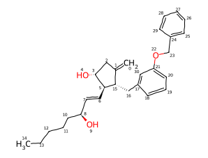 C=C1C[C@@H](O)[C@H](/C=C/[C@@H](O)CCCCC)[C@H]1Cc1cccc(OCc2ccccc2)c1